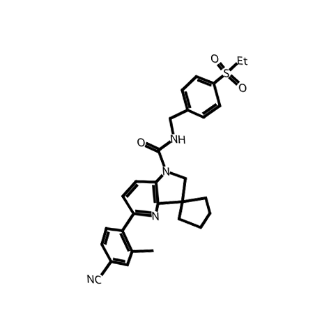 CCS(=O)(=O)c1ccc(CNC(=O)N2CC3(CCCC3)c3nc(-c4ccc(C#N)cc4C)ccc32)cc1